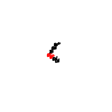 [Cd].[Ga].[Ge].[O-2].[O-2].[Sn+4].[Zn]